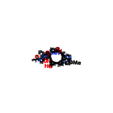 C=CC(=O)N1CC[C@](O)(C(=O)N(C)[C@H](C(=O)N[C@H]2Cc3cc(O)cc(c3)-c3ccc4c(c3)c(c(-c3nccnc3COC)n4CC)CC(C)(C)COC(=O)[C@@]3(O)CCCN(N3)C2=O)C(C)C)C1